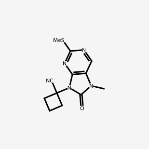 CSc1ncc2c(n1)n(C1(C#N)CCC1)c(=O)n2C